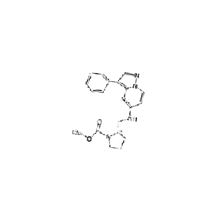 CC(C)(C)OC(=O)N1CCC[C@H]1CNc1ccn2ncc(-c3ccccc3)c2n1